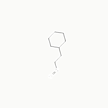 O=NCCC1CCCCC1